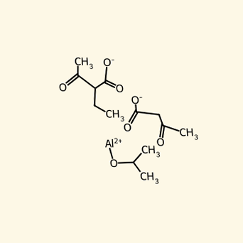 CC(=O)CC(=O)[O-].CC(C)[O][Al+2].CCC(C(C)=O)C(=O)[O-]